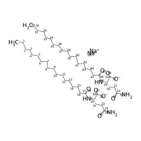 CCCCCCCCCCCCCCCCCC(=O)N[C@@H](CCC(N)=O)C(=O)[O-].CCCCCCCCCCCCCCCCCC(=O)N[C@@H](CCC(N)=O)C(=O)[O-].[Na+].[Na+]